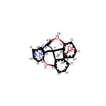 Nc1cccc2c1[C@]1(c3ccccc3O2)c2ccccc2Oc2cccc(O)c21